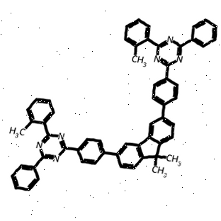 Cc1ccccc1-c1nc(-c2ccccc2)nc(-c2ccc(-c3ccc4c(c3)-c3cc(-c5ccc(-c6nc(-c7ccccc7)nc(-c7ccccc7C)n6)cc5)ccc3C4(C)C)cc2)n1